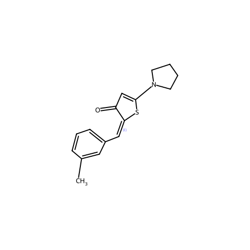 Cc1cccc(/C=C2/SC(N3CCCC3)=CC2=O)c1